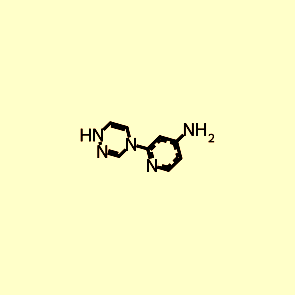 Nc1ccnc(N2C=CNN=C2)c1